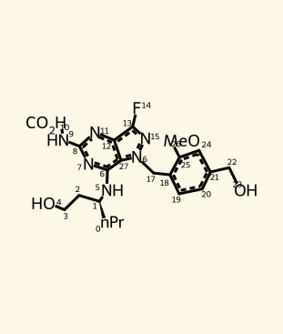 CCC[C@@H](CCO)Nc1nc(NC(=O)O)nc2c(F)nn(Cc3ccc(CO)cc3OC)c12